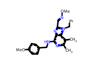 CON=Cc1nc2c(NCc3ccc(OC)cc3)nc(C)c(C)c2n1CC(C)C